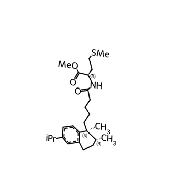 COC(=O)[C@@H](CCSC)NC(=O)CCCC[C@]1(C)c2ccc(C(C)C)cc2CC[C@H]1C